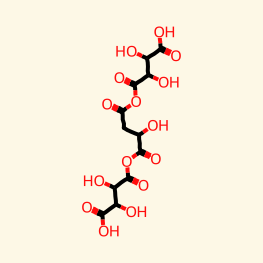 O=C(CC(O)C(=O)OC(=O)C(O)C(O)C(=O)O)OC(=O)C(O)C(O)C(=O)O